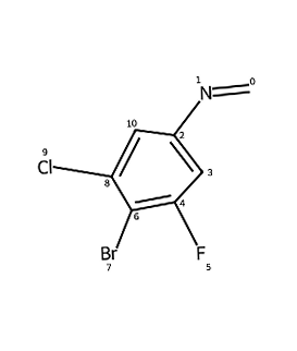 C=Nc1cc(F)c(Br)c(Cl)c1